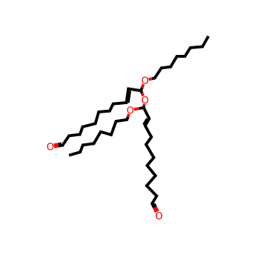 CCCCCCCCOC(C=CCCCCCCCC=O)OC(C=CCCCCCCCC=O)OCCCCCCCC